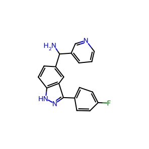 NC(c1cccnc1)c1ccc2[nH]nc(-c3ccc(F)cc3)c2c1